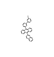 Ic1cccc(-c2cccc(-c3c4ccccc4c(-c4ccc5ccccc5c4)c4ccccc34)c2)c1